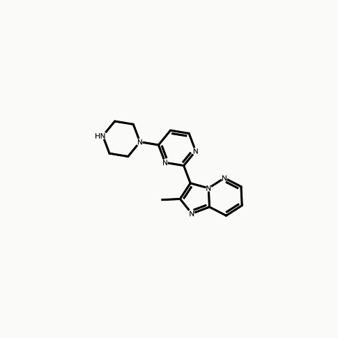 Cc1nc2cccnn2c1-c1nccc(N2CCNCC2)n1